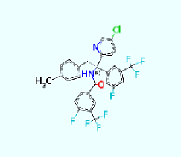 Cc1ccc(C[C@@](NC(=O)c2ccc(F)c(C(F)(F)F)c2)(c2cc(F)cc(C(F)(F)F)c2)c2ccc(Cl)cn2)cc1